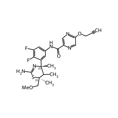 C#CCOc1cnc(C(=O)Nc2cc(F)c(F)c([C@@]3(C)N=C(N)S[C@](C)(COC)C3C)c2)cn1